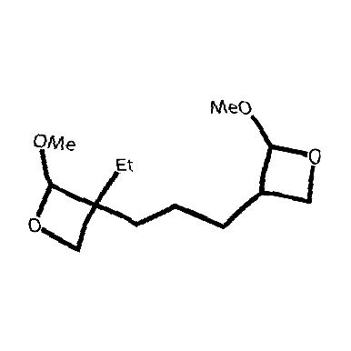 CCC1(CCCC2COC2OC)COC1OC